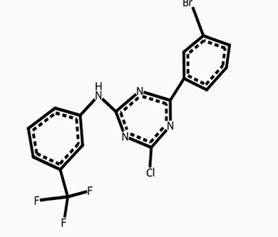 FC(F)(F)c1cccc(Nc2nc(Cl)nc(-c3cccc(Br)c3)n2)c1